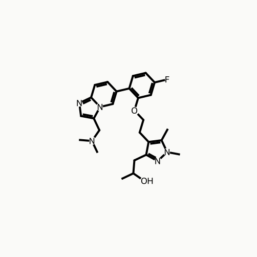 Cc1c(CCOc2cc(F)ccc2-c2ccc3ncc(CN(C)C)n3c2)c(CC(C)O)nn1C